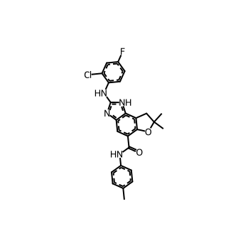 Cc1ccc(NC(=O)c2cc3nc(Nc4ccc(F)cc4Cl)[nH]c3c3c2OC(C)(C)C3)cc1